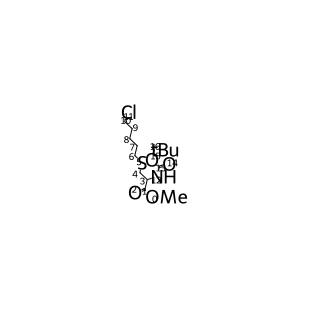 COC(=O)C(CSCCCCCCl)NC(=O)OC(C)(C)C